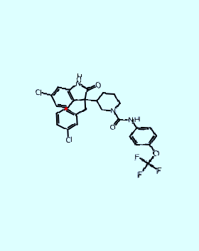 O=C(Nc1ccc(OC(F)(F)F)cc1)N1CCCC(C2(Cc3cccc(Cl)c3)C(=O)Nc3cc(Cl)ccc32)C1